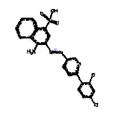 Nc1c(/N=N/c2ccc(-c3ccc(Cl)cc3Cl)nc2)cc(S(=O)(=O)O)c2ccccc12